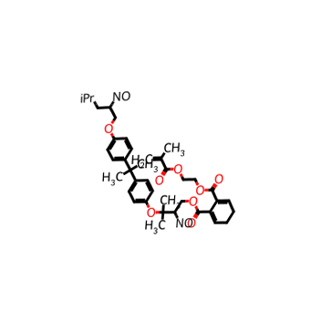 C=C(C)C(=O)OCCOC(=O)C1=CCCC=C1C(=O)OCC(N=O)C(C)(C)Oc1ccc(C(C)(C)c2ccc(OCC(CC(C)C)N=O)cc2)cc1